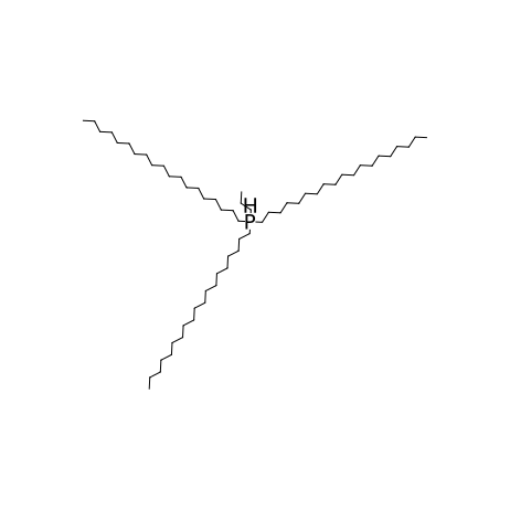 CCCCCCCCCCCCCCCCCCC[PH](CCC)(CCCCCCCCCCCCCCCCCCC)CCCCCCCCCCCCCCCCCCC